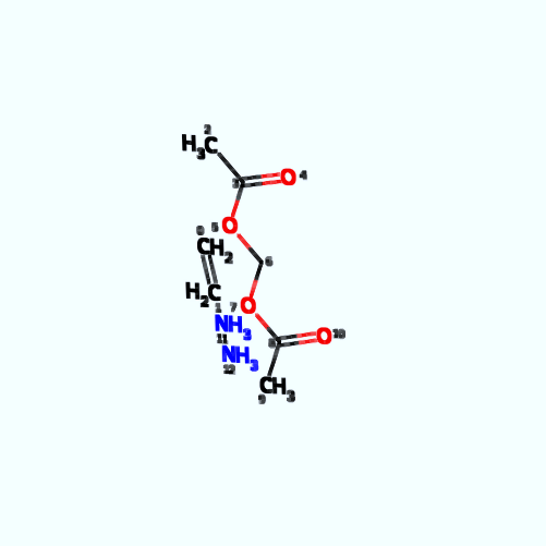 C=C.CC(=O)OCOC(C)=O.N.N